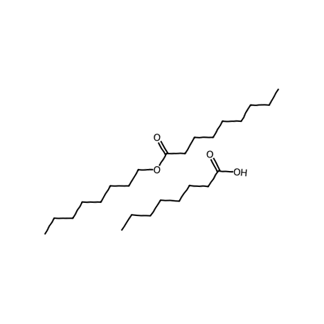 CCCCCCCC(=O)O.CCCCCCCCOC(=O)CCCCCCCC